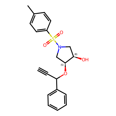 C#CC(O[C@H]1CN(S(=O)(=O)c2ccc(C)cc2)C[C@H]1O)c1ccccc1